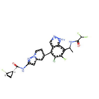 CC(NC(=O)C(F)F)c1c(F)c(Cl)c(-c2ccn3nc(NC(=O)[C@@H]4C[C@@H]4F)cc3c2)c2cn[nH]c12